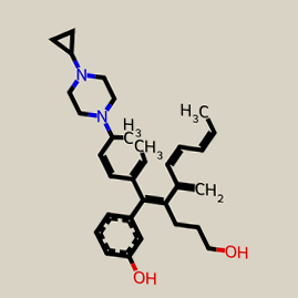 C=C(/C=C\C=C/C)\C(CCCO)=C(C(/C=C\C(C)N1CCN(C2CC2)CC1)=C/C)\c1cccc(O)c1